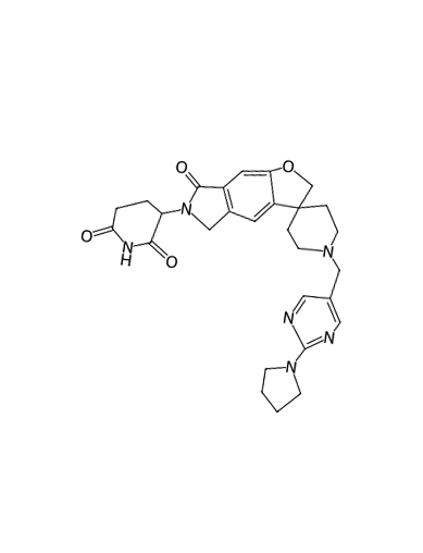 O=C1CCC(N2Cc3cc4c(cc3C2=O)OCC42CCN(Cc3cnc(N4CCCC4)nc3)CC2)C(=O)N1